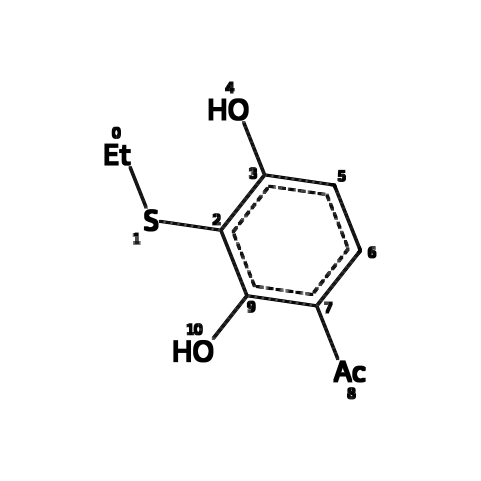 CCSc1c(O)ccc(C(C)=O)c1O